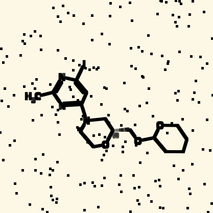 Cc1nc(I)cc(N2CCO[C@@H](COC3CCCCO3)C2)n1